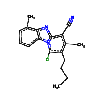 CCCCc1c(C)c(C#N)c2nc3c(C)cccc3n2c1Cl